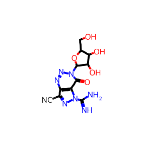 N#Cc1nn(C(=N)N)c2c(=O)n(C3OC(CO)C(O)C3O)nnc12